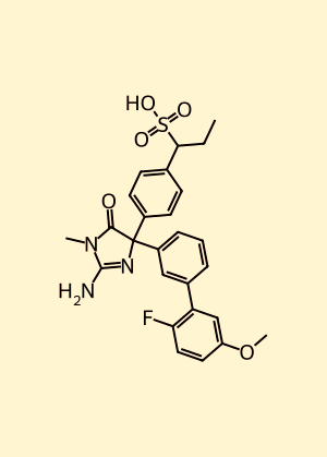 CCC(c1ccc(C2(c3cccc(-c4cc(OC)ccc4F)c3)N=C(N)N(C)C2=O)cc1)S(=O)(=O)O